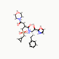 O=C(N[C@@H](CCc1ccccc1)C(=O)c1ncco1)C(CC(=O)N1CCOCC1)CS(=O)(=O)CC1CC1